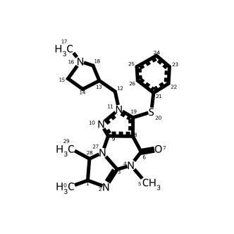 CC1N=C2N(C)C(=O)c3c(nn(CC4CCN(C)C4)c3Sc3ccccc3)N2C1C